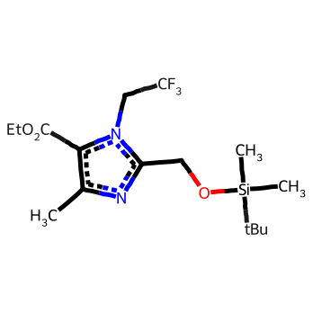 CCOC(=O)c1c(C)nc(CO[Si](C)(C)C(C)(C)C)n1CC(F)(F)F